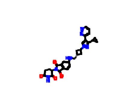 O=C1CCC(N2C(=O)c3ccc(NC[C@H]4C[C@H](n5cc(-c6cccnn6)c(C6CC6)n5)C4)cc3C2=O)C(=O)N1